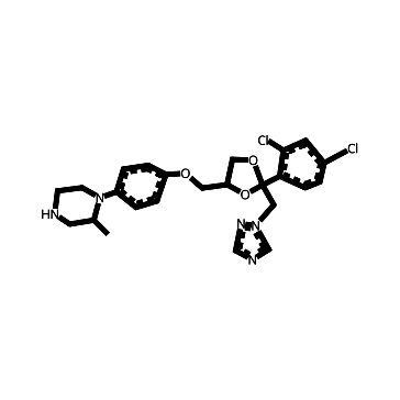 CC1CNCCN1c1ccc(OCC2COC(Cn3cncn3)(c3ccc(Cl)cc3Cl)O2)cc1